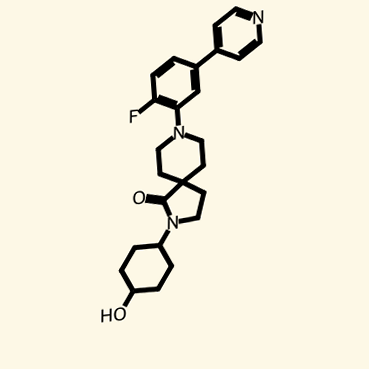 O=C1N(C2CCC(O)CC2)CCC12CCN(c1cc(-c3ccncc3)ccc1F)CC2